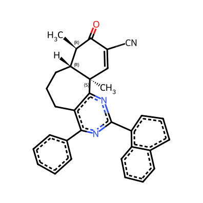 C[C@H]1C(=O)C(C#N)=C[C@@]2(C)c3nc(-c4cccc5ccccc45)nc(-c4ccccc4)c3CCC[C@H]12